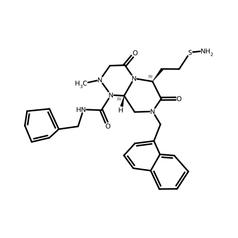 CN1CC(=O)N2[C@@H](CCSN)C(=O)N(Cc3cccc4ccccc34)C[C@@H]2N1C(=O)NCc1ccccc1